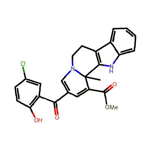 COC(=O)C1=CC(C(=O)c2cc(Cl)ccc2O)=CN2CCc3c([nH]c4ccccc34)C12C